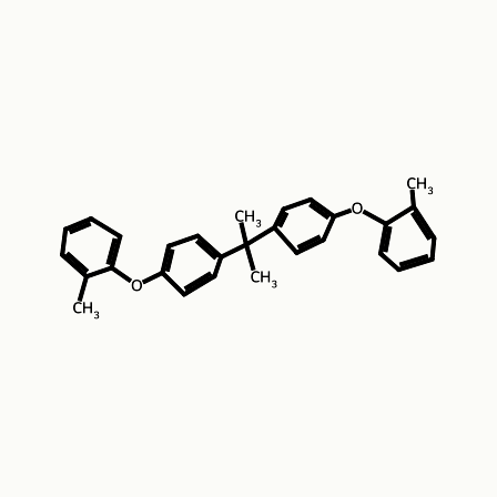 Cc1ccccc1Oc1ccc(C(C)(C)c2ccc(Oc3ccccc3C)cc2)cc1